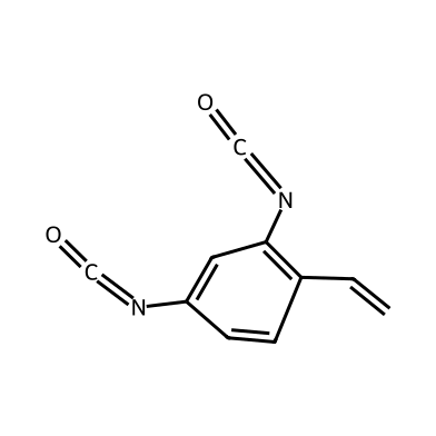 C=Cc1ccc(N=C=O)cc1N=C=O